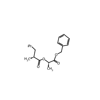 CC(C)C[C@H](C)C(=O)O[C@H](C)C(=O)OCc1ccccc1